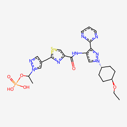 CCO[C@H]1CC[C@H](n2cc(NC(=O)c3csc(-c4cnn(C(C)OP(=O)(O)O)c4)n3)c(-c3ncccn3)n2)CC1